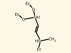 CCO[SiH](/C=C/[SiH](C)CC)OCC